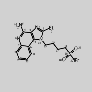 CCc1nc2c(N)nc3ccccc3c2n1CCCCS(=O)(=O)C(C)C